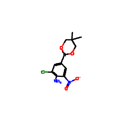 CC1(C)COB(c2cc(Cl)c(N)c([N+](=O)[O-])c2)OC1